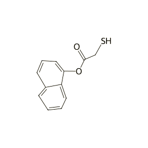 O=C(CS)Oc1cccc2ccccc12